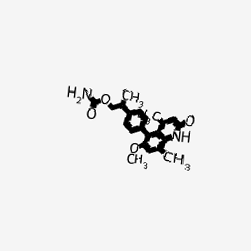 COc1cc(C)c2[nH]c(=O)cc(C)c2c1-c1ccc(C(C)COC(N)=O)cc1